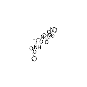 CC(CCNC(=O)OCc1ccccc1)CC(=O)N1CCC2C1C(=O)CN2S(=O)(=O)c1ccccn1